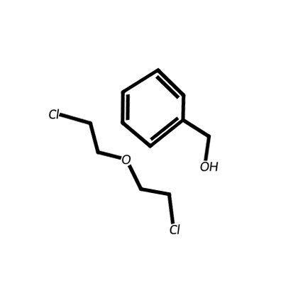 ClCCOCCCl.OCc1ccccc1